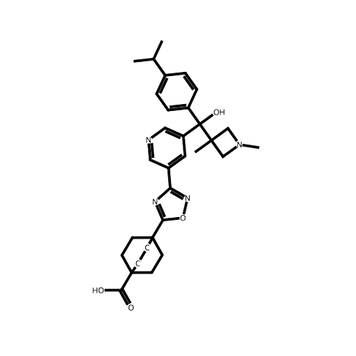 CC(C)c1ccc(C(O)(c2cncc(-c3noc(C45CCC(C(=O)O)(CC4)CC5)n3)c2)C2(C)CN(C)C2)cc1